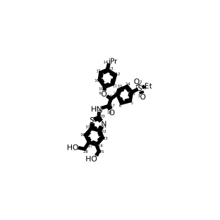 CCS(=O)(=O)c1ccc(C(Oc2ccc(C(C)C)cc2)C(=O)Nc2nc3cc(CO)c(CO)cc3s2)cc1